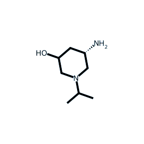 CC(C)N1CC(O)C[C@H](N)C1